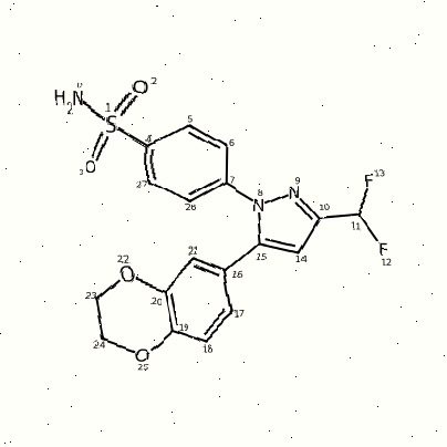 NS(=O)(=O)c1ccc(-n2nc(C(F)F)cc2-c2ccc3c(c2)OCCO3)cc1